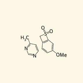 COc1ccc2c(c1)S(=O)(=O)C2.Cc1ccncn1